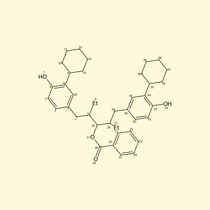 CCC(Cc1ccc(O)c(C2CCCCC2)c1)C(OC(=O)c1ccccc1)C(CC)Cc1ccc(O)c(C2CCCCC2)c1